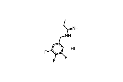 CSC(=N)NCc1cc(F)c(F)c(F)c1.I